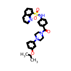 CC(C)Oc1cccc(N2CCN(C(=O)c3ccc(NS(=O)(=O)c4cccc5cccnc45)cc3)CC2)c1